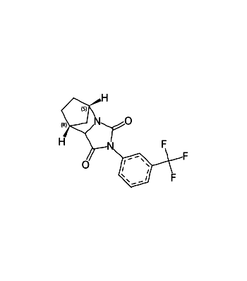 O=C1C2[C@@H]3CC[C@@H](C3)N2C(=O)N1c1cccc(C(F)(F)F)c1